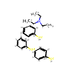 CCN(CC)CC.Sc1ccccc1.Sc1ccccc1.Sc1ccccc1